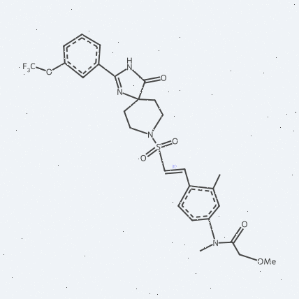 COCC(=O)N(C)c1ccc(/C=C/S(=O)(=O)N2CCC3(CC2)N=C(c2cccc(OC(F)(F)F)c2)NC3=O)c(C)c1